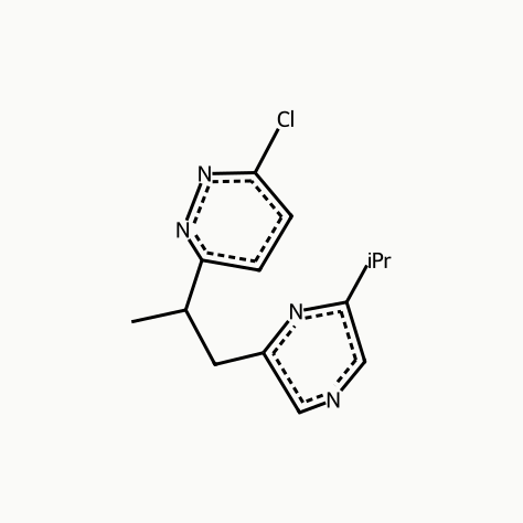 CC(C)c1cncc(CC(C)c2ccc(Cl)nn2)n1